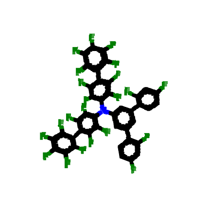 Fc1ccc(-c2cc(-c3ccc(F)cc3F)cc(N(c3c(F)c(F)c(-c4c(F)c(F)c(F)c(F)c4F)c(F)c3F)c3c(F)c(F)c(-c4c(F)c(F)c(F)c(F)c4F)c(F)c3F)c2)c(F)c1